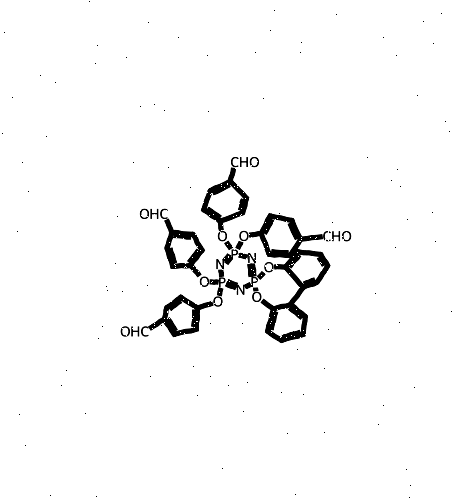 O=Cc1ccc(OP2(Oc3ccc(C=O)cc3)=NP(Oc3ccc(C=O)cc3)(Oc3ccc(C=O)cc3)=NP3(=N2)Oc2ccccc2-c2ccccc2O3)cc1